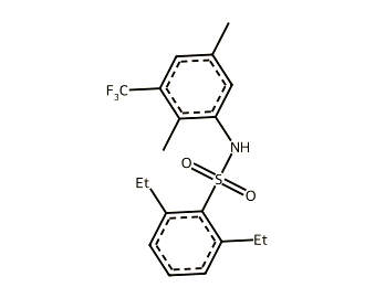 CCc1cccc(CC)c1S(=O)(=O)Nc1cc(C)cc(C(F)(F)F)c1C